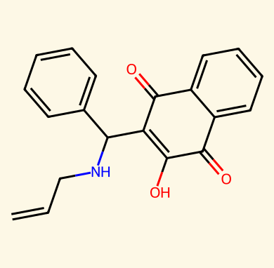 C=CCNC(C1=C(O)C(=O)c2ccccc2C1=O)c1ccccc1